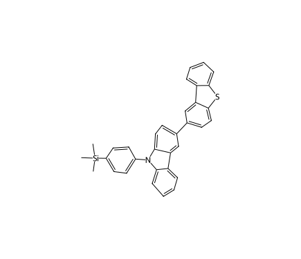 C[Si](C)(C)c1ccc(-n2c3ccccc3c3cc(-c4ccc5sc6ccccc6c5c4)ccc32)cc1